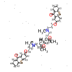 CN(CCCOc1ccc2sc3ccccc3c(=O)c2c1)CCOC(C)(C)CCOC(C)(C)CCN(C)CCCOc1ccc2sc3ccccc3c(=O)c2c1